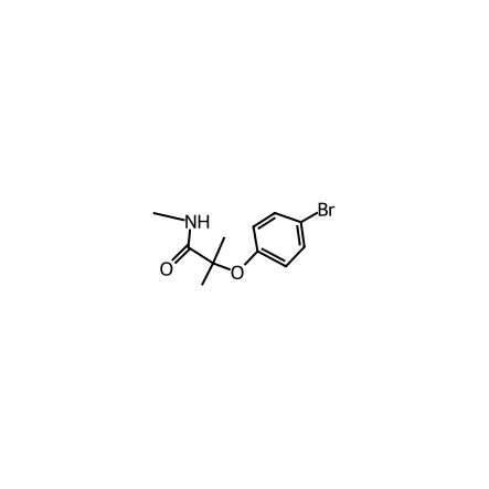 CNC(=O)C(C)(C)Oc1ccc(Br)cc1